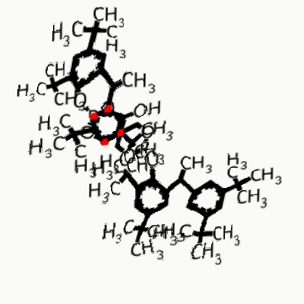 CC(c1cc(C(C)(C)C)cc(C(C)(C)C)c1)c1cc(C(C)(C)C)cc(C(C)(C)C)c1OP1OCC2(CO1)COP(Oc1c(C(C)c3cc(C(C)(C)C)cc(C(C)(C)C)c3O)cc(C(C)(C)C)cc1C(C)(C)C)OC2